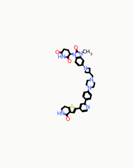 Cn1c(=O)n(C2CCC(=O)NC2=O)c2ccc(N3CC(CN4CCN(c5ccc(-c6cc(-c7cc8c(s7)CCNC8=O)ccn6)cc5)CC4)C3)cc21